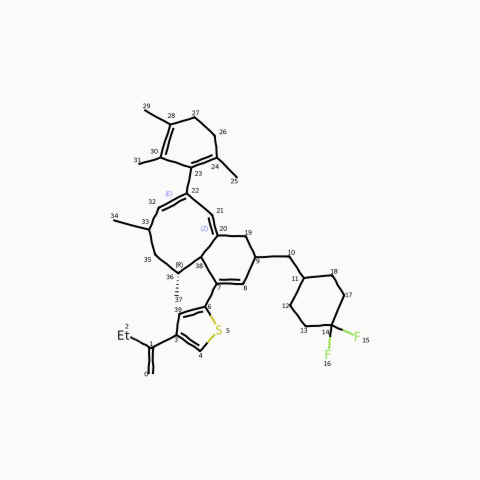 C=C(CC)c1csc(C2=CC(CC3CCC(F)(F)CC3)C/C3=C/C(C4=C(C)CCC(C)=C4C)=C\C(C)C[C@@H](C)C23)c1